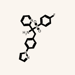 NC(Cc1ccc(-n2cccn2)cc1)(c1ccccn1)S(=O)(=O)c1ccc(F)cc1